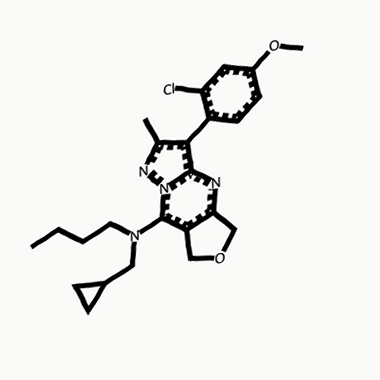 CCCCN(CC1CC1)c1c2c(nc3c(-c4ccc(OC)cc4Cl)c(C)nn13)COC2